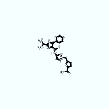 CC(=O)c1ccc(Cn2ncc(NC(=O)c3nc(C(C)C)oc3-c3ccccc3)n2)o1